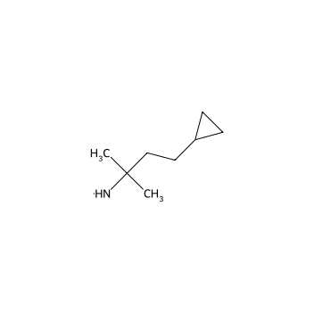 CC(C)([NH])CCC1CC1